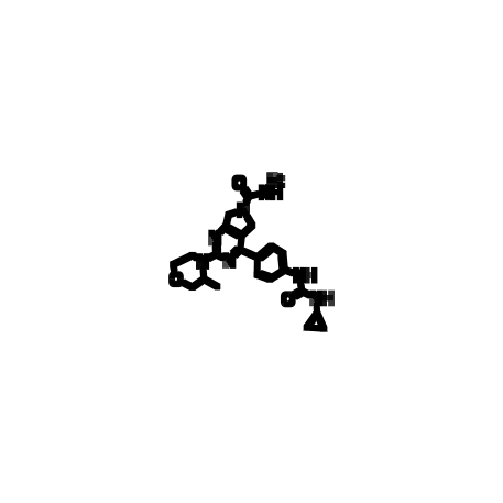 CCNC(=O)N1Cc2nc(N3CCOCC3C)nc(-c3ccc(NC(=O)NC4CC4)cc3)c2C1